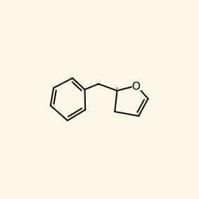 C1=CO[C](Cc2ccccc2)C1